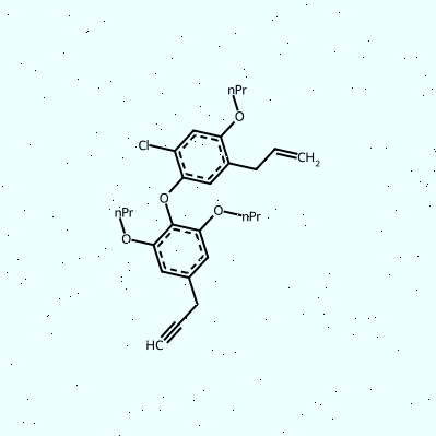 C#CCc1cc(OCCC)c(Oc2cc(CC=C)c(OCCC)cc2Cl)c(OCCC)c1